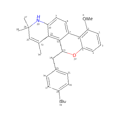 COc1cccc2c1-c1ccc3c(c1C(Cc1ccc(C(C)(C)C)cc1)O2)C(C)=CC(C)(C)N3